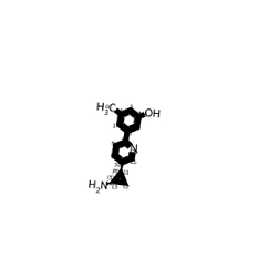 Cc1cc(O)cc(-c2ccc([C@H]3C[C@@H]3N)cn2)c1